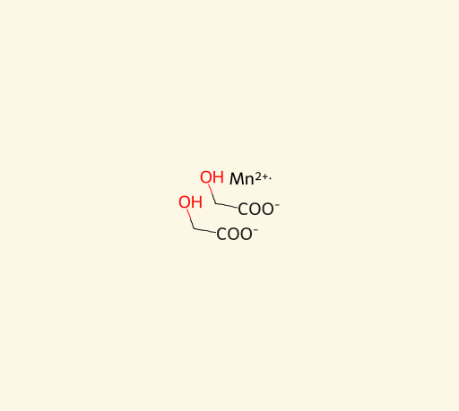 O=C([O-])CO.O=C([O-])CO.[Mn+2]